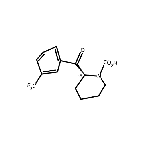 O=C(c1cccc(C(F)(F)F)c1)[C@@H]1CCCCN1C(=O)O